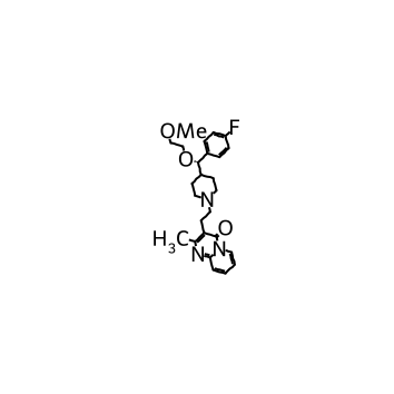 COCCO[C@H](c1ccc(F)cc1)C1CCN(CCc2c(C)nc3ccccn3c2=O)CC1